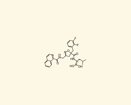 CC(C)C[C@H](NC(=O)C1(Cc2cccc(F)c2F)CC(CNC(=O)c2nccc3ccccc23)=NO1)B(O)O